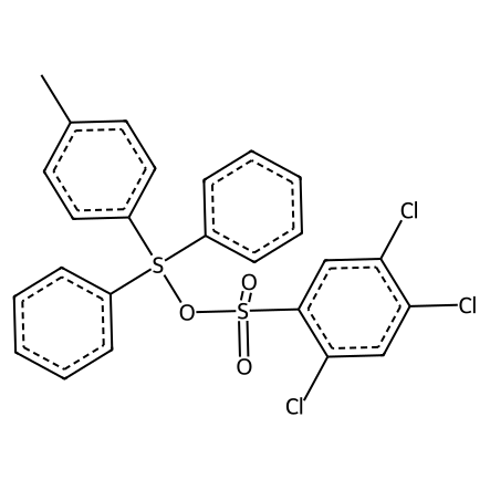 Cc1ccc(S(OS(=O)(=O)c2cc(Cl)c(Cl)cc2Cl)(c2ccccc2)c2ccccc2)cc1